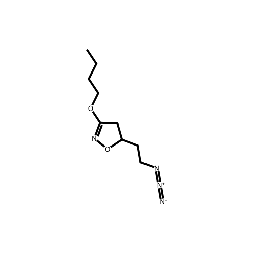 CCCCOC1=NOC(CCN=[N+]=[N-])C1